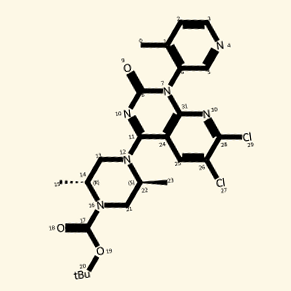 Cc1ccncc1-n1c(=O)nc(N2C[C@@H](C)N(C(=O)OC(C)(C)C)C[C@@H]2C)c2cc(Cl)c(Cl)nc21